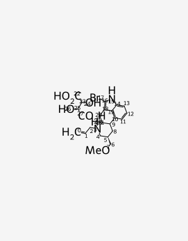 C=CCN1C[C@H](COC)CC2c3cccc4[nH]c(Br)c(c34)C[C@H]21.O=C(O)C(O)C(O)C(=O)O